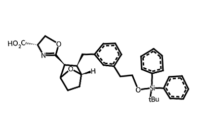 CC(C)(C)[Si](OCCc1cccc(C[C@H]2[C@@H]3CCC(O3)[C@H]2C2=N[C@H](C(=O)O)CO2)c1)(c1ccccc1)c1ccccc1